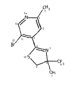 Cc1cc(C2=NC(O)(C(F)(F)F)CS2)c(Br)cn1